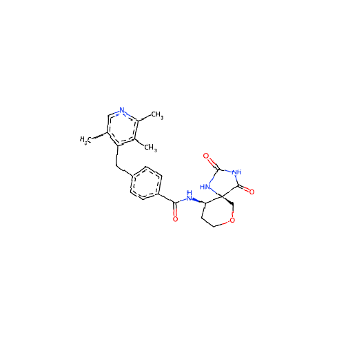 Cc1cnc(C)c(C)c1Cc1ccc(C(=O)N[C@@H]2CCOC[C@]23NC(=O)NC3=O)cc1